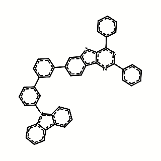 c1ccc(-c2nc(-c3ccccc3)c3sc4cc(-c5cccc(-c6cccc(-n7c8ccccc8c8ccccc87)c6)c5)ccc4c3n2)cc1